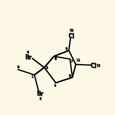 CC(Br)C1(Br)CC2CC1C(Cl)C2Cl